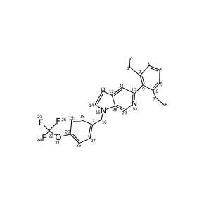 CCc1cccc(CC)c1-c1cc2ccn(Cc3ccc(OC(F)(F)F)cc3)c2cn1